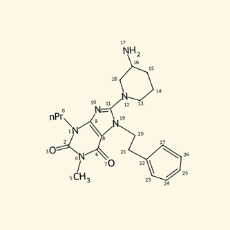 CCCn1c(=O)n(C)c(=O)c2c1nc(N1CCCC(N)C1)n2CCc1ccccc1